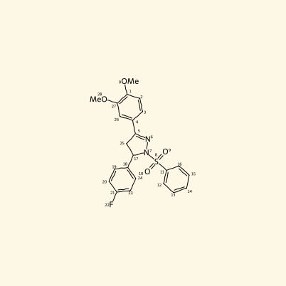 COc1ccc(C2=NN(S(=O)(=O)c3ccccc3)C(c3ccc(F)cc3)C2)cc1OC